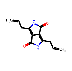 C=CCC1=C2C(=O)NC(CC=C)=C2C(=O)N1